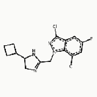 Fc1cc(Cl)c2c(c1)c(Cl)nn2CC1=NCC(C2CCC2)N1